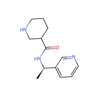 C[C@@H](NC(=O)C1CCCNC1)c1cccnc1